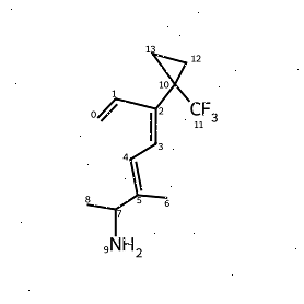 C=C/C(=C\C=C(/C)C(C)N)C1(C(F)(F)F)CC1